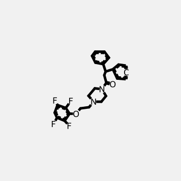 O=C(CC(c1ccccc1)c1ccccc1)N1CCN(CCOc2c(F)c(F)cc(F)c2F)CC1